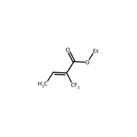 C/C=C(/C(=O)OCC)C(F)(F)F